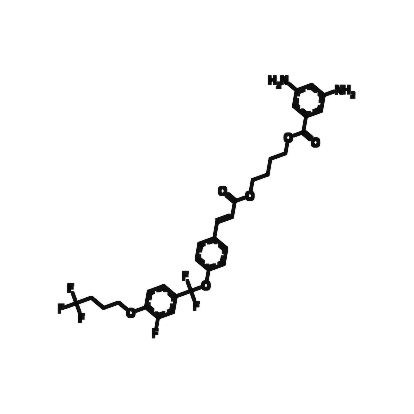 Nc1cc(N)cc(C(=O)OCCCCOC(=O)C=Cc2ccc(OC(F)(F)c3ccc(OCCCC(F)(F)F)c(F)c3)cc2)c1